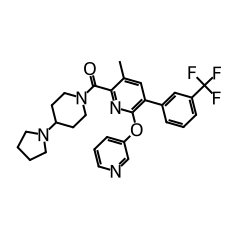 Cc1cc(-c2cccc(C(F)(F)F)c2)c(Oc2cccnc2)nc1C(=O)N1CCC(N2CCCC2)CC1